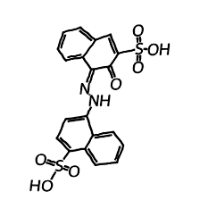 O=C1C(S(=O)(=O)O)=Cc2ccccc2/C1=N/Nc1ccc(S(=O)(=O)O)c2ccccc12